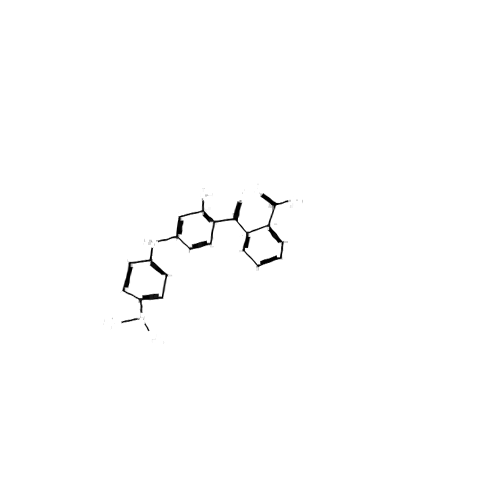 CN(C)c1ccc(Nc2ccc(C(=O)c3ccccc3C(=O)O)c(O)c2)cc1